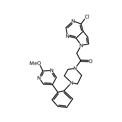 COc1ncc(-c2ccccc2N2CCN(C(=O)Cn3ccc4c(Cl)ncnc43)CC2)cn1